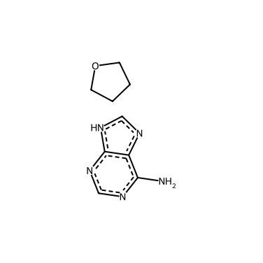 C1CCOC1.Nc1ncnc2[nH]cnc12